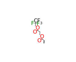 C=CC(=O)OCCC(=O)OCC(F)(F)C(F)(F)F